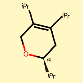 CC(C)C1=C(C(C)C)C[C@@H](C(C)C)OC1